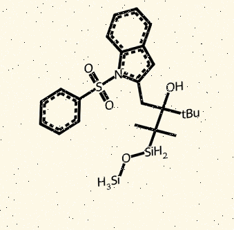 CC(C)(C)C(O)(Cc1cc2ccccc2n1S(=O)(=O)c1ccccc1)C(C)(C)[SiH2]O[SiH3]